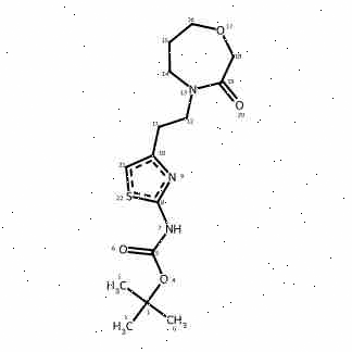 CC(C)(C)OC(=O)Nc1nc(CCN2CCCOCC2=O)cs1